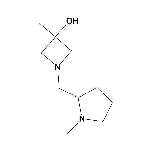 CN1CCCC1CN1CC(C)(O)C1